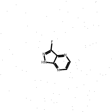 Fc1n[nH]c2nccnc12